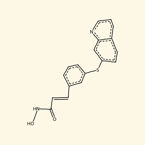 O=C(/C=C/c1cccc(Sc2ccc3cccnc3c2)c1)NO